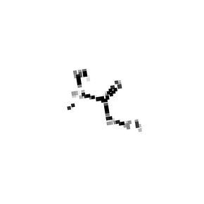 C[C@H](N)C(=O)OP